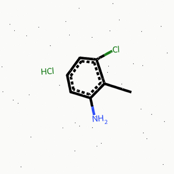 Cc1c(N)cccc1Cl.Cl